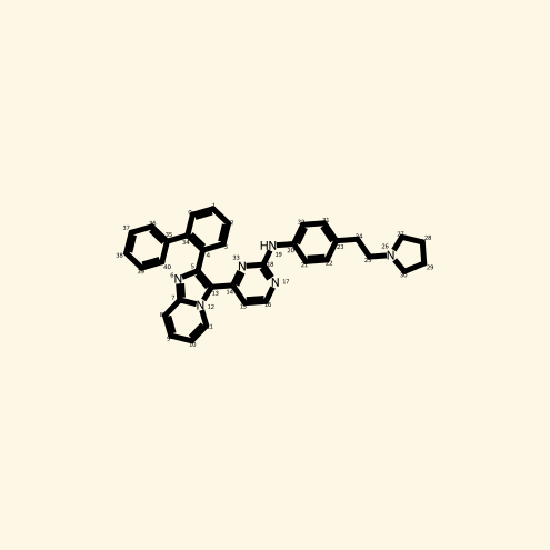 [c]1cccc(-c2nc3ccccn3c2-c2ccnc(Nc3ccc(CCN4CCCC4)cc3)n2)c1-c1ccccc1